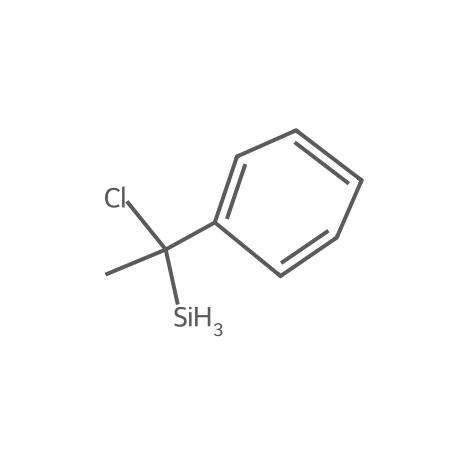 CC([SiH3])(Cl)c1ccccc1